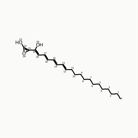 CCCCCCCCCCCCC=CC=CC=CC=C(O)C1=C(O)O1